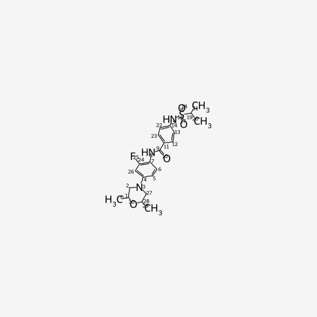 CC1CN(c2ccc(NC(=O)c3ccc(NS(=O)(=O)C(C)C)cc3)c(F)c2)CC(C)O1